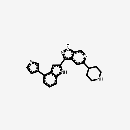 c1cc(-c2ccsc2)c2cc(-c3n[nH]c4cnc(C5CCNCC5)cc34)[nH]c2c1